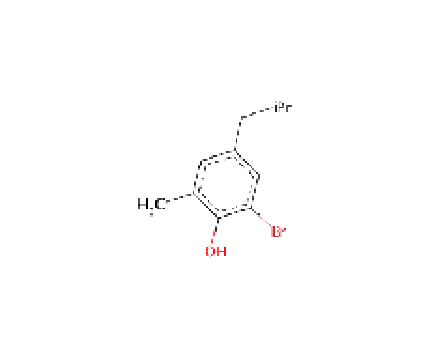 Cc1cc(CC(C)C)cc(Br)c1O